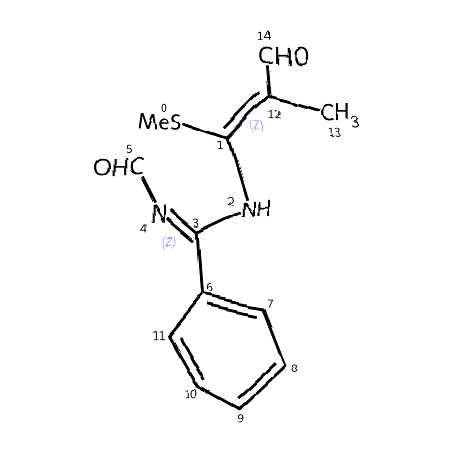 CS/C(N/C(=N\C=O)c1ccccc1)=C(/C)C=O